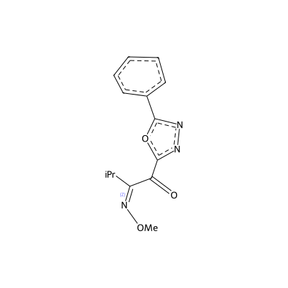 CO/N=C(\C(=O)c1nnc(-c2ccccc2)o1)C(C)C